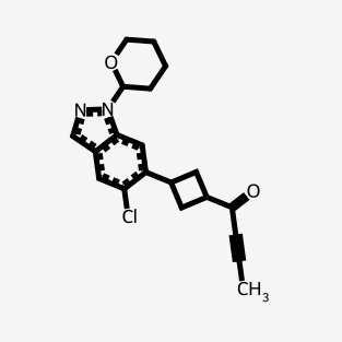 CC#CC(=O)C1CC(c2cc3c(cnn3C3CCCCO3)cc2Cl)C1